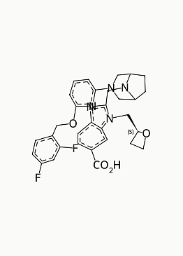 O=C(O)c1ccc2nc(CN3C4CCC3CN(c3cccc(OCc5ccc(F)cc5F)n3)C4)n(C[C@@H]3CCO3)c2c1